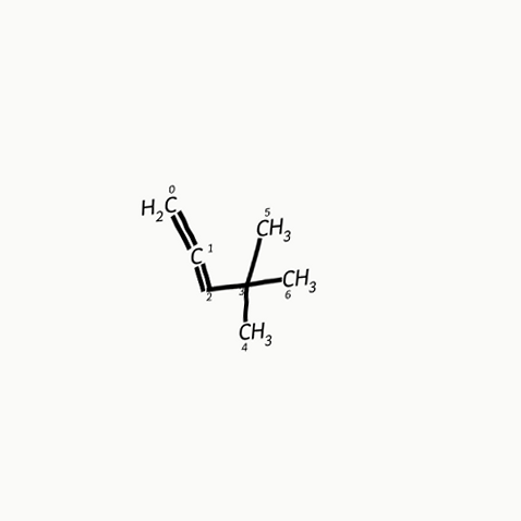 C=C=CC(C)(C)C